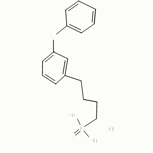 O=P(O)(O)[C@@H](O)CCCc1cccc(Oc2ccccc2)c1